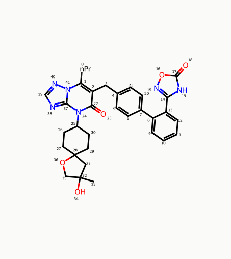 CCCc1c(Cc2ccc(-c3ccccc3-c3noc(=O)[nH]3)cc2)c(=O)n(C2CCC3(CC2)CC(C)(O)CO3)c2ncnn12